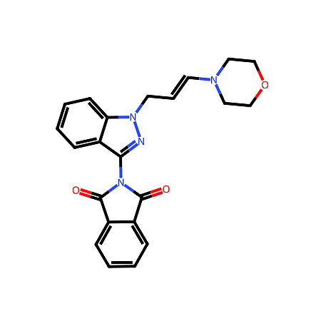 O=C1c2ccccc2C(=O)N1c1nn(CC=CN2CCOCC2)c2ccccc12